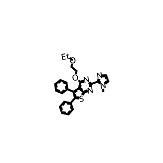 CCOCCOc1nc(-c2nccn2C)nc2sc(-c3ccccc3)c(-c3ccccc3)c12